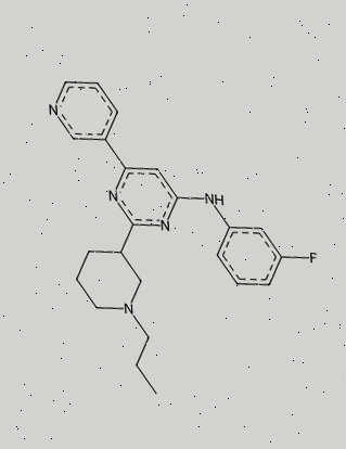 CCCN1CCCC(c2nc(Nc3cccc(F)c3)cc(-c3cccnc3)n2)C1